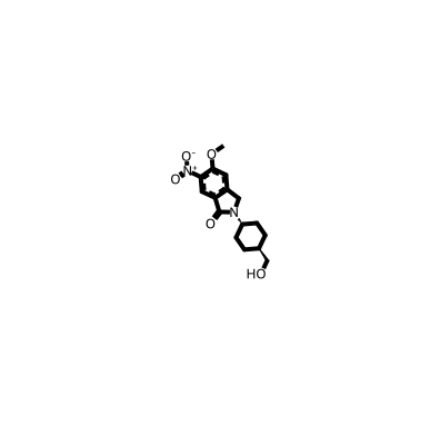 COc1cc2c(cc1[N+](=O)[O-])C(=O)N([C@H]1CC[C@H](CO)CC1)C2